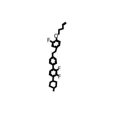 C=CCCCOc1ccc(CCc2ccc(-c3ccc(C4CCC(C)CC4)c(F)c3F)cc2)cc1F